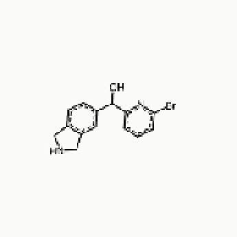 OC(c1ccc2c(c1)CNC2)c1cccc(Br)n1